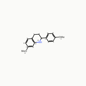 COc1ccc(C2CCc3ccc(OC)cc3N2)cc1